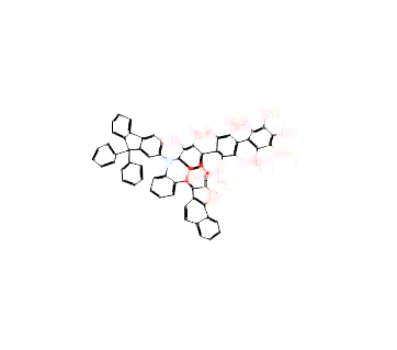 Bc1c(B)c(B)c(-c2c(B)c(B)c(-c3c(B)c(B)c(N(c4ccc5c(c4)C(c4ccccc4)(c4ccccc4)c4ccccc4-5)c4ccccc4-c4cccc5oc6c7ccccc7ccc6c45)c(B)c3B)c(B)c2B)c(B)c1B